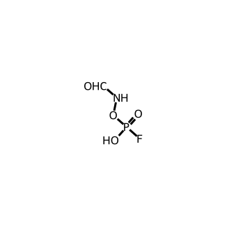 O=CNOP(=O)(O)F